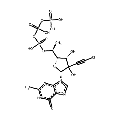 C[C@H](OP(=O)(O)OP(=O)(O)OP(=O)(O)O)[C@H]1O[C@@H](n2cnc3c(=S)[nH]c(N)nc32)C(O)(C#CCl)[C@H]1O